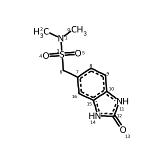 CN(C)S(=O)(=O)Cc1ccc2[nH]c(=O)[nH]c2c1